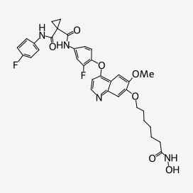 COc1cc2c(Oc3ccc(NC(=O)C4(C(=O)Nc5ccc(F)cc5)CC4)cc3F)ccnc2cc1OCCCCCCC(=O)NO